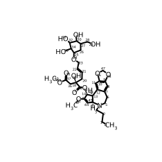 CCCCN1CCc2cc3c(cc2[C@@H]2[C@H](OC(=O)[C@@](O)(C/C=C/COC4CC(CO)C(O)C(O)C4O)CC(=O)OC)C(OC)=C[C@@H]21)OCO3